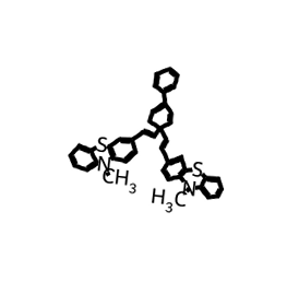 CN1c2ccccc2Sc2cc(C=CC3(C=Cc4ccc5c(c4)Sc4ccccc4N5C)C=CC(c4ccccc4)=CC3)ccc21